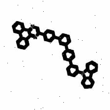 c1cc(-c2ccc(-c3cccc(-n4c5ccccc5c5ccccc54)c3)cc2)cc(-c2ccc(-c3cnc4c5ccccc5c5ccccc5c4n3)cc2)c1